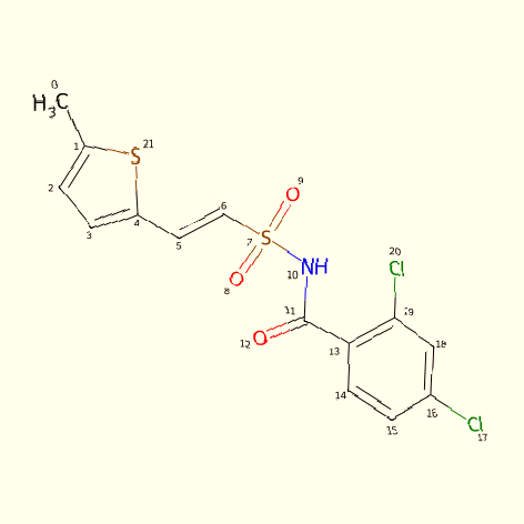 Cc1ccc(C=CS(=O)(=O)NC(=O)c2ccc(Cl)cc2Cl)s1